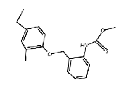 CCc1ccc(OCc2ccccc2NC(=S)OC)c(C)c1